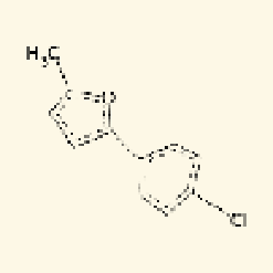 Cc1ccc(-c2ccc(Cl)cc2)o1